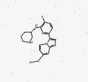 CC(C)Oc1ccn2c(-c3ccc(F)c(N[C@@H]4CCCNC4)n3)cnc2c1